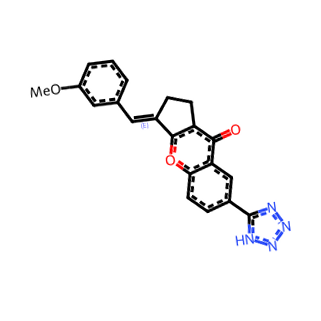 COc1cccc(/C=C2\CCc3c2oc2ccc(-c4nnn[nH]4)cc2c3=O)c1